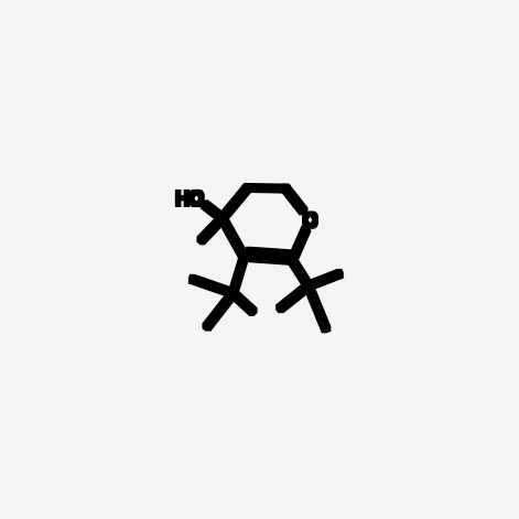 CC(C)(C)C1=C(C(C)(C)C)C(C)(O)CCO1